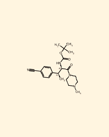 C[C@@H](c1ccc(C#N)cc1)[C@@H](NC(=O)OC(C)(C)C)C(=O)N1CCN(C)CC1